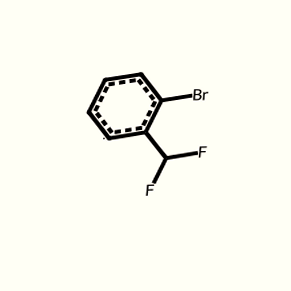 FC(F)c1[c]cccc1Br